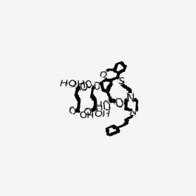 O=C(O)C=CC(=O)O.O=C(O)C=CC(=O)O.O=C(O)c1ccc2c(c1)C(SCCN1CCN(CC=Cc3ccccc3)CC1)c1ccccc1CO2